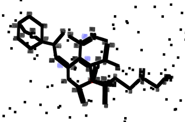 C=C(CCNCC(C)C)C/C(C(=C)C)=C(C(=C/C(C)C12CCC(CC1)CC2)\CC(=C)C(=O)CCCC)/C(C)=N\C